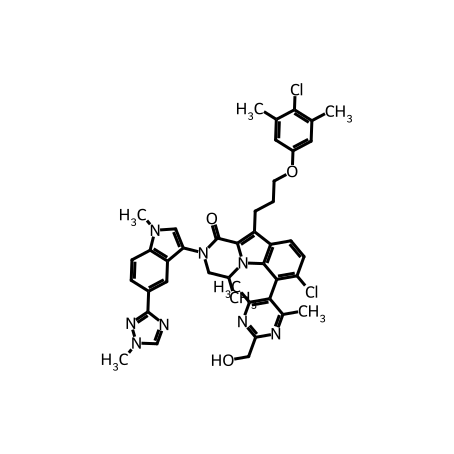 Cc1cc(OCCCc2c3n(c4c(-c5c(C)nc(CO)nc5C)c(Cl)ccc24)C(C)CN(c2cn(C)c4ccc(-c5ncn(C)n5)cc24)C3=O)cc(C)c1Cl